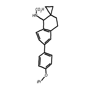 CC(C)Oc1ccc(-c2ccc3c(c2)CCC2(CC2)C3NC(=O)O)cc1